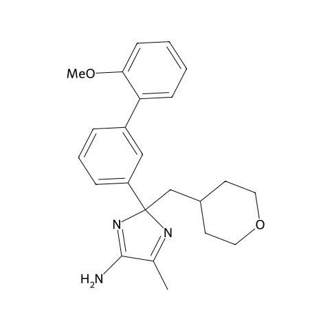 COc1ccccc1-c1cccc(C2(CC3CCOCC3)N=C(C)C(N)=N2)c1